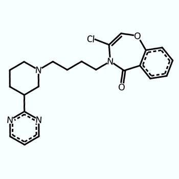 O=C1c2ccccc2OC=C(Cl)N1CCCCN1CCCC(c2ncccn2)C1